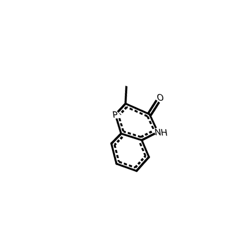 Cc1pc2ccccc2[nH]c1=O